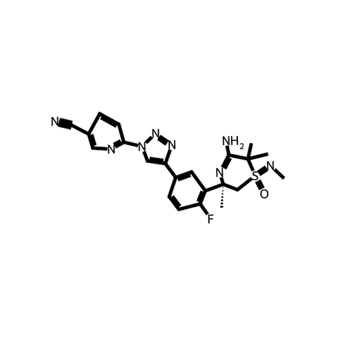 CN=S1(=O)C[C@@](C)(c2cc(-c3cn(-c4ccc(C#N)cn4)nn3)ccc2F)N=C(N)C1(C)C